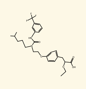 CCOC(Cc1ccc(OCCN(CCCC(C)C)C(=O)Nc2cccc(C(F)(F)F)c2)cc1)C(=O)O